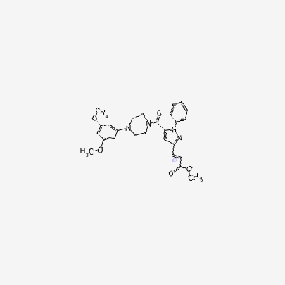 COC(=O)/C=C/c1cc(C(=O)N2CCN(c3cc(OC)cc(OC)c3)CC2)n(-c2ccccc2)n1